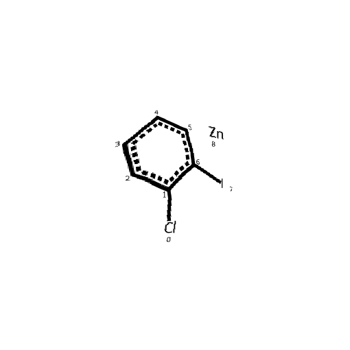 Clc1ccccc1I.[Zn]